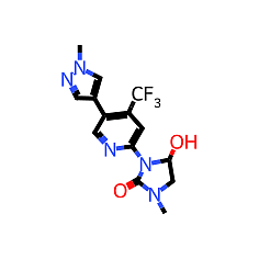 CN1CC(O)N(c2cc(C(F)(F)F)c(-c3cnn(C)c3)cn2)C1=O